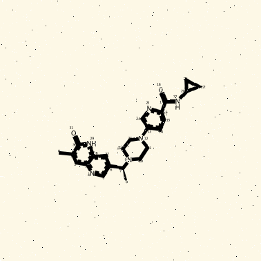 Cc1cc2ncc([C@H](C)N3CCN(c4ccc(C(=O)NC5CC5)nc4)CC3)cc2[nH]c1=O